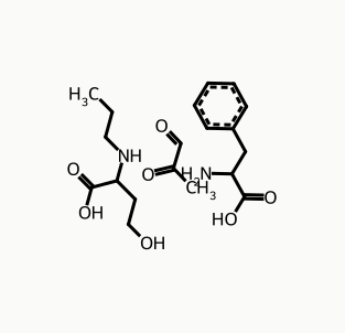 CC(=O)C=O.CCCNC(CCO)C(=O)O.NC(Cc1ccccc1)C(=O)O